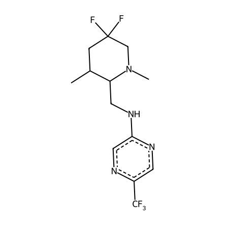 CC1CC(F)(F)CN(C)C1CNc1cnc(C(F)(F)F)cn1